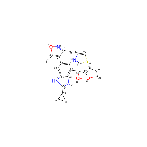 Cc1noc(C)c1-c1cc(C(O)(c2nccs2)C2CCCO2)c2nc(C3CC3)[nH]c2c1